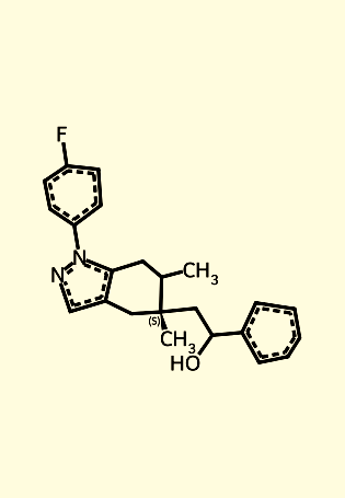 CC1Cc2c(cnn2-c2ccc(F)cc2)C[C@@]1(C)CC(O)c1ccccc1